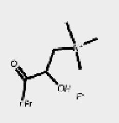 CCCC(=O)C(O)C[N+](C)(C)C.[F-]